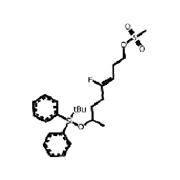 CC(CC/C(F)=C/CCOS(C)(=O)=O)O[Si](c1ccccc1)(c1ccccc1)C(C)(C)C